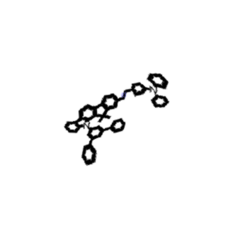 CC1(C)c2cc(/C=C/c3ccc(N(c4ccccc4)c4ccccc4)cc3)ccc2-c2ccc3c4ccccc4n(-c4cc(-c5ccccc5)cc(-c5ccccc5)c4)c3c21